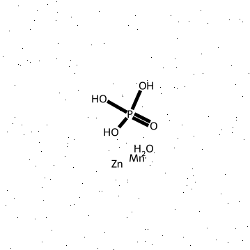 O.O=P(O)(O)O.[Mn].[Zn]